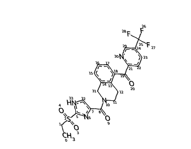 CCS(=O)(=O)c1nc(C(=O)N2CCc3c(cccc3C(=O)c3ccc(C(F)(F)F)cn3)C2)c[nH]1